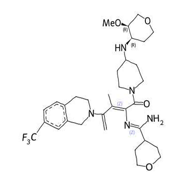 C=C(/C(C)=C(\N=C(/N)C1CCOCC1)C(=O)N1CCC(N[C@@H]2CCOC[C@@H]2OC)CC1)N1CCc2ccc(C(F)(F)F)cc2C1